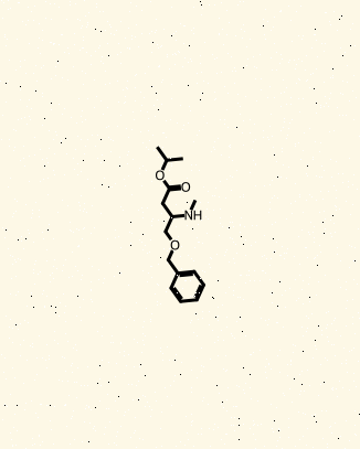 CNC(COCc1ccccc1)CC(=O)OC(C)C